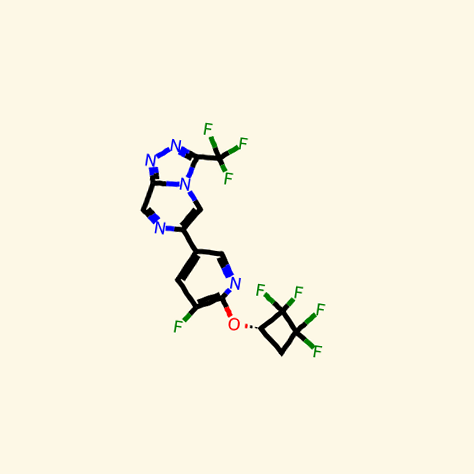 Fc1cc(-c2cn3c(C(F)(F)F)nnc3cn2)cnc1O[C@H]1CC(F)(F)C1(F)F